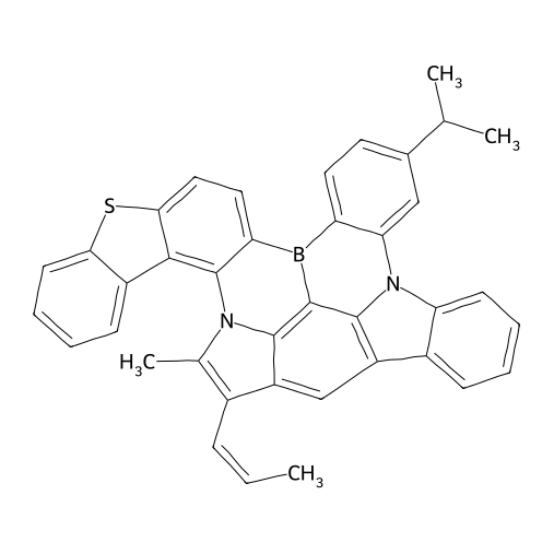 C/C=C\c1c(C)n2c3c4c5c(cc13)c1ccccc1n5-c1cc(C(C)C)ccc1B4c1ccc3sc4ccccc4c3c1-2